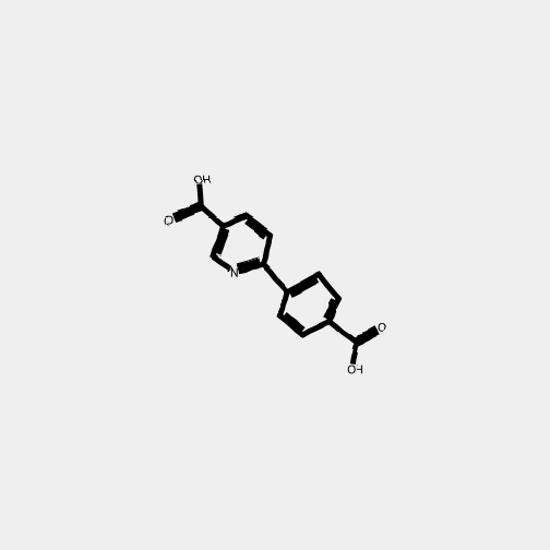 O=C(O)c1ccc(-c2ccc(C(=O)O)cn2)cc1